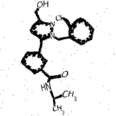 CC(C)NC(=O)c1cccc(-c2cc(CO)nn2Cc2ccccc2Cl)c1